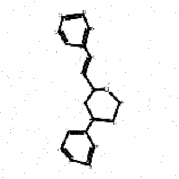 C(=C\C1CC(c2ccccc2)CCO1)/c1ccccc1